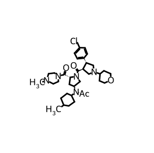 CC(=O)N(C1CCC(C)CC1)[C@H]1C[C@H](C(=O)N2CCN(C)CC2)N(C(=O)[C@@H]2CN(C3CCOCC3)C[C@H]2c2ccc(Cl)cc2)C1